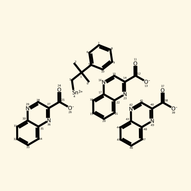 CC(C)([CH2][Sn+3])c1ccccc1.O=C([O-])c1cnc2ccccc2n1.O=C([O-])c1cnc2ccccc2n1.O=C([O-])c1cnc2ccccc2n1